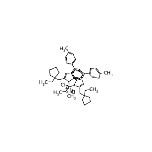 CCC1(CC2=Cc3c(-c4ccc(C)cc4)cccc3[CH]2[Zr]([Cl])([Cl])([CH]2C(CC3(CC)CCCC3)=Cc3c(-c4ccc(C)cc4)cccc32)[SiH](C)C)CCCC1